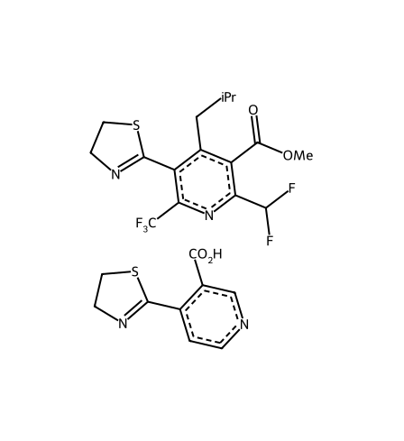 COC(=O)c1c(C(F)F)nc(C(F)(F)F)c(C2=NCCS2)c1CC(C)C.O=C(O)c1cnccc1C1=NCCS1